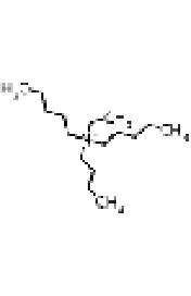 CCCCC[N+](CC)(CCCC)CCCCC